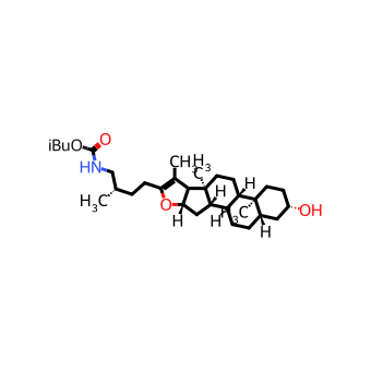 CC1=C(CC[C@H](C)CNC(=O)OCC(C)C)O[C@H]2C[C@H]3[C@@H]4CC[C@H]5C[C@@H](O)CC[C@]5(C)[C@H]4CC[C@]3(C)C12